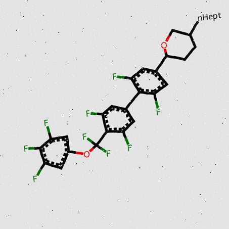 CCCCCCCC1CCC(c2cc(F)c(-c3cc(F)c(C(F)(F)Oc4cc(F)c(F)c(F)c4)c(F)c3)c(F)c2)OC1